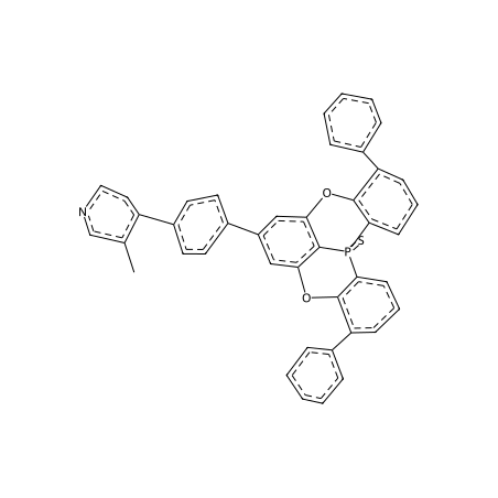 Cc1cnccc1-c1ccc(-c2cc3c4c(c2)Oc2c(-c5ccccc5)cccc2P4(=S)c2cccc(-c4ccccc4)c2O3)cc1